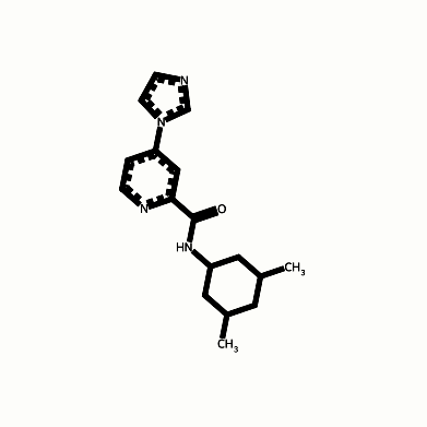 CC1CC(C)CC(NC(=O)c2cc(-n3ccnc3)ccn2)C1